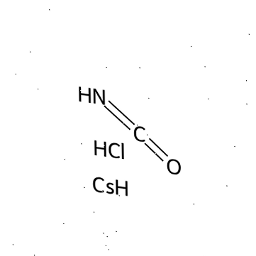 Cl.N=C=O.[CsH]